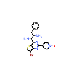 NC(Cc1ccccc1)C(N)c1nc(-c2cc[n+]([O-])cc2)nc2c(Br)csc12